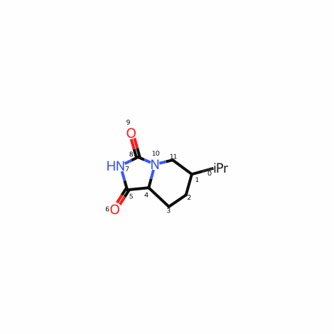 CC(C)C1CCC2C(=O)NC(=O)N2C1